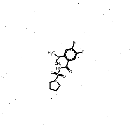 CN(C)c1cc(Br)c(F)cc1C(=O)NS(=O)(=O)N1CCCC1